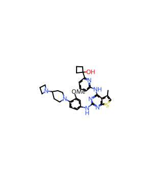 COc1cc(Nc2nc(Nc3cccc(C4(O)CCC4)n3)c3c(C)csc3n2)ccc1N1CCC(N2CCC2)CC1